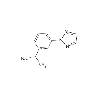 CC(C)c1cccc(-n2nccn2)c1